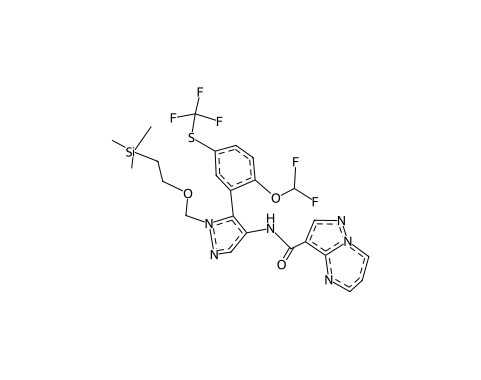 C[Si](C)(C)CCOCn1ncc(NC(=O)c2cnn3cccnc23)c1-c1cc(SC(F)(F)F)ccc1OC(F)F